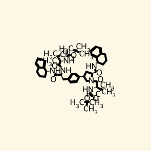 CC(C)(C)OC(=O)N[C@H](C(=O)N[C@@H](Cc1ccc([C@H]2C[C@@H](C(=O)N[C@@H]3CCCc4ccccc43)N(C(=O)[C@@H](NC(=O)OC(C)(C)C)C(C)(C)C)C2)cc1)C(=O)N[C@@H]1CCCc2ccccc21)C(C)(C)C